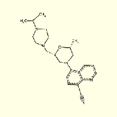 CC(C)N1CCN(C[C@H]2CN(c3ccc(C#N)c4ncccc34)C[C@@H](C)O2)CC1